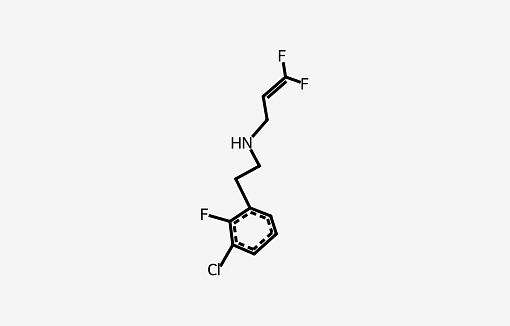 FC(F)=CCNCCc1cccc(Cl)c1F